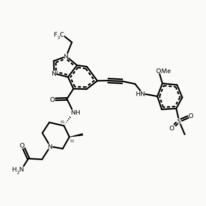 COc1ccc(S(C)(=O)=O)cc1NCC#Cc1cc(C(=O)N[C@H]2CCN(CC(N)=O)C[C@@H]2C)c2ncn(CC(F)(F)F)c2c1